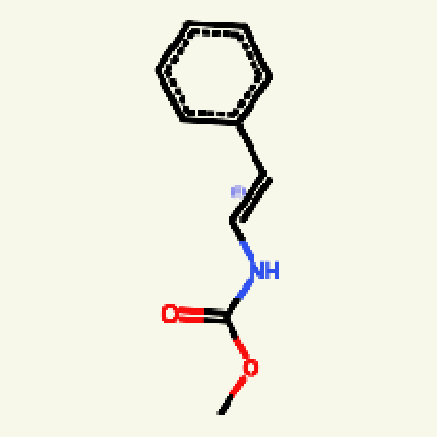 COC(=O)N/C=C/c1cc[c]cc1